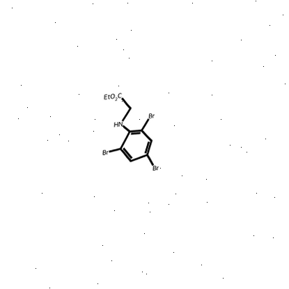 CCOC(=O)CNc1c(Br)cc(Br)cc1Br